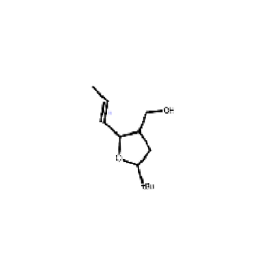 C/C=C/C1OC(C(C)(C)C)CC1CO